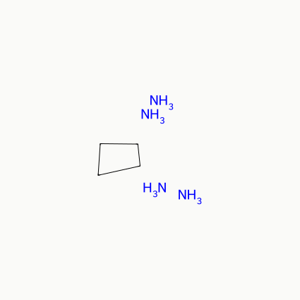 C1CCC1.N.N.N.N